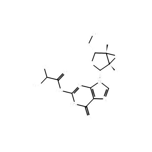 CC[C@H]1O[C@@H](n2cnc3c(=O)[nH]c(NC(=O)C(C)C)nc32)[C@H]2O[C@H]21